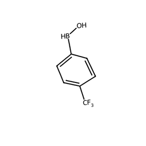 OBc1ccc(C(F)(F)F)cc1